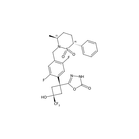 C[C@H]1CC[C@H](c2ccccc2)S(=O)(=O)N1Cc1cc(F)c([C@]2(c3n[nH]c(=O)o3)C[C@](O)(C(F)(F)F)C2)cc1F